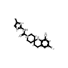 Cc1cnc(NC(=O)N2CCC3(CCc4cc(F)cc(Cl)c4O3)CC2)s1